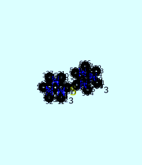 Cc1c2c3c4c5c1N(c1ccccc1)c1cc6sc7cc8c(cc7c6cc1B5c1ccccc1N4c1ccccc1B3c1ccccc1N2c1ccccc1)B1c2ccccc2N2c3ccccc3B3c4ccccc4N(c4ccccc4)c4c(C)c(c1c2c43)N8c1ccccc1